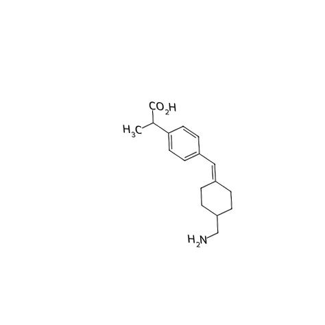 CC(C(=O)O)c1ccc(C=C2CCC(CN)CC2)cc1